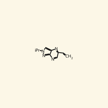 C=Cc1cnc2nn(C(C)C)cc2n1